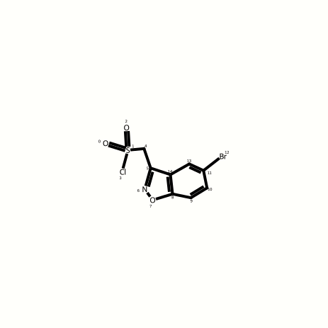 O=S(=O)(Cl)Cc1noc2ccc(Br)cc12